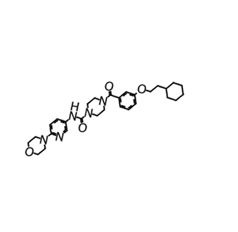 O=C(Nc1ccc(N2CCOCC2)nc1)N1CCN(C(=O)c2cccc(OCCC3CCCCC3)c2)CC1